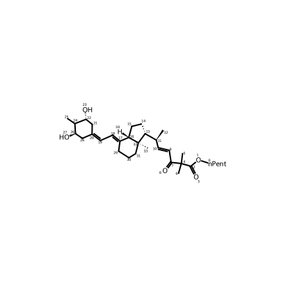 CCCCCOC(=O)C(C)(C)C(=O)/C=C/[C@H](C)[C@H]1CC[C@H]2/C(=C/C=C3C[C@@H](O)C(C)[C@H](O)C3)CCC[C@]12C